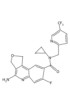 Nc1nc2cc(F)c(C(=O)N(Cc3ccc(C(F)(F)F)cn3)C3CC3)cc2c2c1COC2